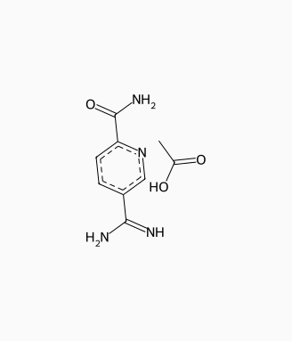 CC(=O)O.N=C(N)c1ccc(C(N)=O)nc1